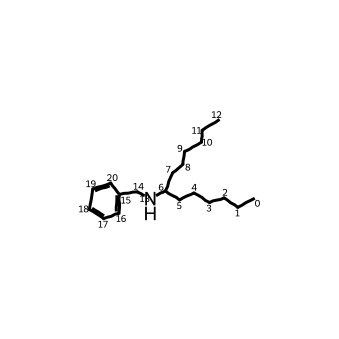 CCCCCCC(CCCCCC)NCc1ccccc1